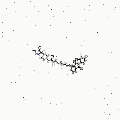 CC/C=C\[C@@](C)(C=O)N1CCN(CC(=O)NCCCOCCNc2cccc3c2C(=O)N(C2CCC(=O)NC2=O)C3=O)CC1